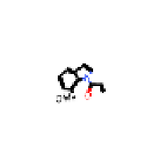 C=CC(=O)n1ccc2cccc(OC)c21